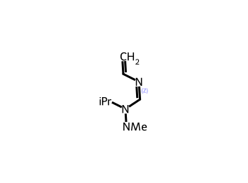 C=C/N=C\N(NC)C(C)C